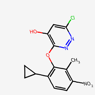 Cc1c([N+](=O)[O-])ccc(C2CC2)c1Oc1nnc(Cl)cc1O